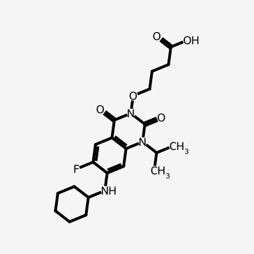 CC(C)n1c(=O)n(OCCCC(=O)O)c(=O)c2cc(F)c(NC3CCCCC3)cc21